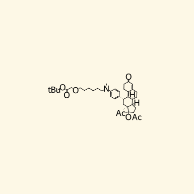 CC(=O)O[C@]1(C(C)=O)CC[C@H]2[C@@H]3CCC4=CC(=O)CCC4=C3[C@@H](c3ccc(N(C)CCCCCCOCC(=O)OC(C)(C)C)cc3)C[C@@]21C